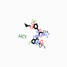 CC(=O)NC[C@H](NC(=O)c1nc(-c2ccc(OC(F)F)c(OCC3CC3)c2)oc1[C@H](C)N)c1ccc(F)cc1F.Cl